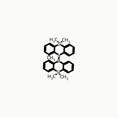 Cc1cccc2c1N(B1c3ccccc3[Si](C)(C)c3ccccc31)c1ccccc1[Si]2(C)C